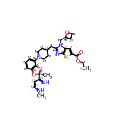 CCOC(=O)c1cc2c(nc(CC3CCN(c4cccc5c4O[C@@](C)(C(=N)/C=C\NC)O5)CC3)n2C[C@@H]2CCO2)s1